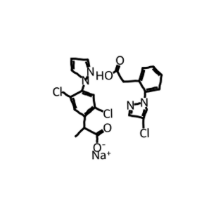 CC(C(=O)[O-])c1cc(Cl)c(-n2cccn2)cc1Cl.O=C(O)Cc1ccccc1-n1cc(Cl)cn1.[Na+]